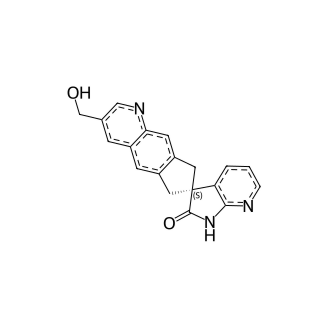 O=C1Nc2ncccc2[C@@]12Cc1cc3cc(CO)cnc3cc1C2